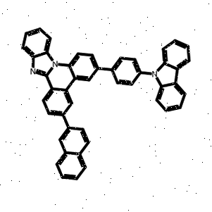 c1ccc2cc(-c3ccc4c(c3)c3cc(-c5ccc(-n6c7ccccc7c7ccccc76)cc5)ccc3n3c5ccccc5nc43)ccc2c1